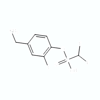 NCc1ccc(OP(=O)(O)C(F)F)c(I)c1